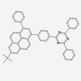 CC(C)(C)c1cc2ccc3c(-c4ccccc4)cc(-c4ccc(-c5nc(-c6ccccc6)nc(-c6ccccc6)n5)cc4)c4ccc(c1)c2c34